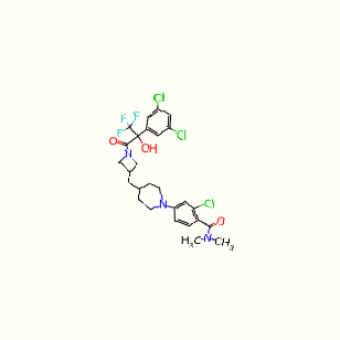 CN(C)C(=O)c1ccc(N2CCC(CC3CN(C(=O)C(O)(c4cc(Cl)cc(Cl)c4)C(F)(F)F)C3)CC2)cc1Cl